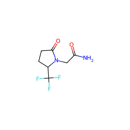 NC(=O)CN1C(=O)CCC1C(F)(F)F